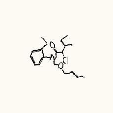 CCCCOCN(C(=O)C(Cl)C(C)CC)c1ccccc1CC